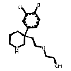 OCCOCC[C@]1(c2ccc(Cl)c(Cl)c2)CCCNC1